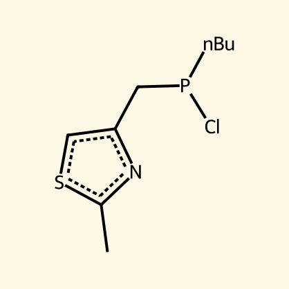 CCCCP(Cl)Cc1csc(C)n1